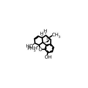 CN1CC[C@]23c4c5ccc(O)c4O[C@H]2[C@@H](O)C=C[C@H]3[C@H]1C5.P